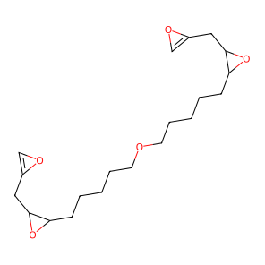 C1=C(CC2OC2CCCCCOCCCCCC2OC2CC2=CO2)O1